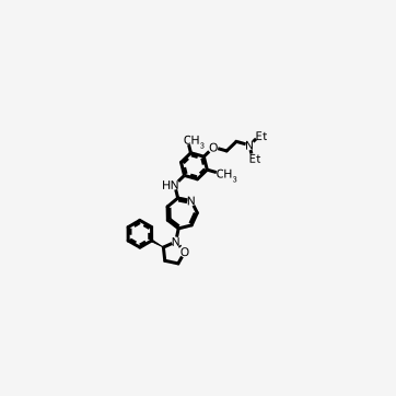 CCN(CC)CCOc1c(C)cc(NC2=NC=CC(N3OCC[C@H]3c3ccccc3)=C=C2)cc1C